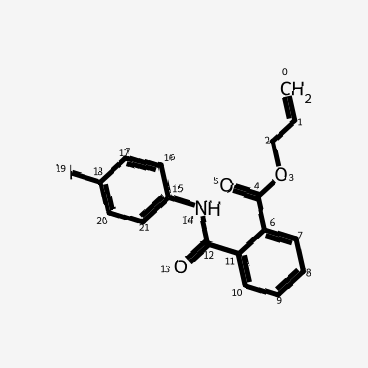 C=CCOC(=O)c1ccccc1C(=O)Nc1ccc(I)cc1